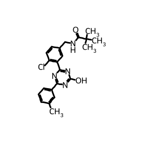 Cc1cccc(-c2nc(O)nc(-c3cc(CNC(=O)C(C)(C)C)ccc3Cl)n2)c1